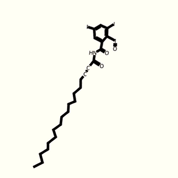 CCCCCCCCCCCCCCCCCC(=O)NC(=O)c1cc(I)cc(I)c1I=O